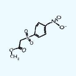 COC(=O)CS(=O)(=O)c1ccc([N+](=O)[O-])cc1